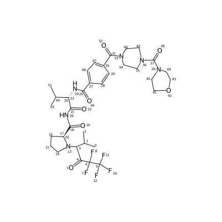 CC(C)C(C(=O)C(F)(F)C(F)(F)F)N1CCC[C@H]1C(=O)NC(=O)[C@@H](NC(=O)c1ccc(C(=O)N2CCN(C(=O)N3CCOCC3)CC2)cc1)C(C)C